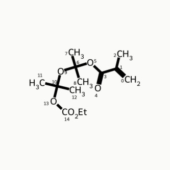 C=C(C)C(=O)OC(C)(C)OC(C)(C)OC(=O)OCC